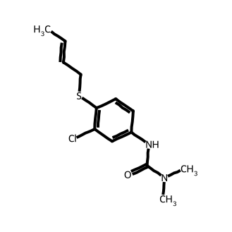 CC=CCSc1ccc(NC(=O)N(C)C)cc1Cl